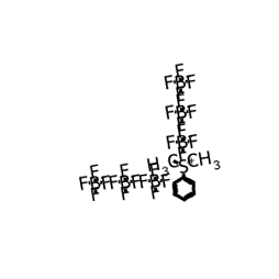 C[S+](C)c1ccccc1.F[B-](F)(F)F.F[B-](F)(F)F.F[B-](F)(F)F.F[B-](F)(F)F.F[B-](F)(F)F.F[B-](F)(F)F